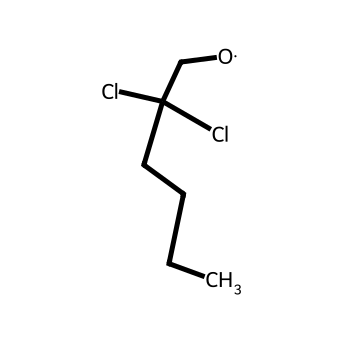 CCCCC(Cl)(Cl)C[O]